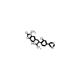 Cn1c(=O)oc2ccc(CC(c3ccc(-c4cncnc4)cc3Cl)C(O)C(F)(F)F)cc21